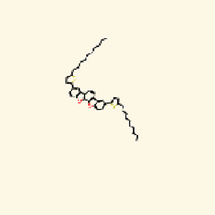 CCCCCCCCCCc1ccc(-c2ccc3oc4c(ccc5c6cc(-c7ccc(CCCCCCCCCC)s7)ccc6oc54)c3c2)s1